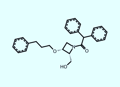 O=C(C(c1ccccc1)c1ccccc1)N1C[C@@H](OCCCc2ccccc2)[C@H]1CO